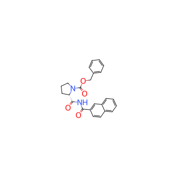 O=C(NC(=O)[C@@H]1CCCN1C(=O)OCc1ccccc1)c1ccc2ccccc2c1